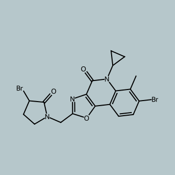 Cc1c(Br)ccc2c3oc(CN4CCC(Br)C4=O)nc3c(=O)n(C3CC3)c12